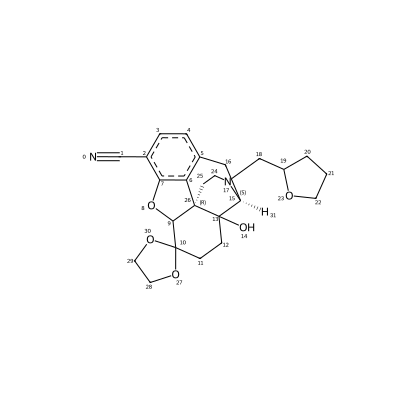 N#Cc1ccc2c3c1OC1C4(CCC5(O)[C@H](C2)N(CC2CCCO2)CC[C@@]315)OCCO4